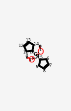 CO[Si](OC)(C1CC=CC1)C1CC=CC1